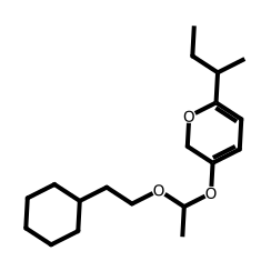 CCC(C)C1=CC=C(OC(C)OCCC2CCCCC2)CO1